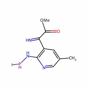 COC(=O)C(=N)c1cc(C)cnc1NPI